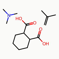 C=C(C)C.CN(C)C.O=C(O)C1CCCCC1C(=O)O